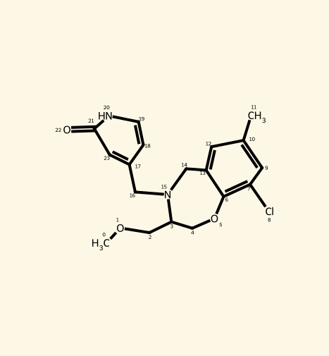 COCC1COc2c(Cl)cc(C)cc2CN1Cc1cc[nH]c(=O)c1